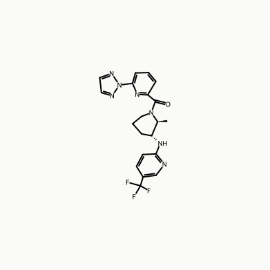 C[C@H]1[C@H](Nc2ccc(C(F)(F)F)cn2)CCCN1C(=O)c1cccc(-n2nccn2)n1